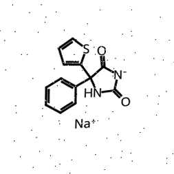 O=C1[N-]C(=O)C(c2ccccc2)(c2cccs2)N1.[Na+]